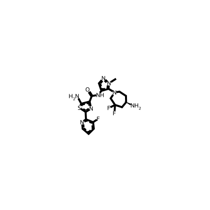 Cn1ncc(NC(=O)c2nc(-c3ncccc3F)sc2N)c1N1CC[C@@H](N)CC(F)(F)C1